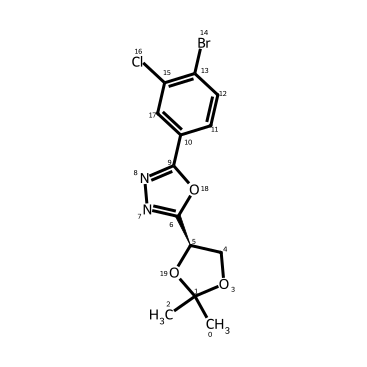 CC1(C)OC[C@H](c2nnc(-c3ccc(Br)c(Cl)c3)o2)O1